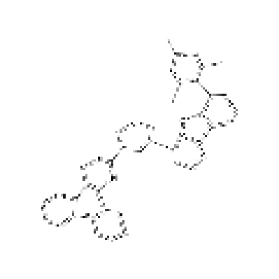 Cc1cc(C)c(-c2cccc3c2oc2c(-c4cccc(-c5ccc6c7ccccc7c7ccccc7c6n5)c4)cccc23)c(C)c1